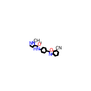 Cn1nccc1C(=O)Nc1ccc(-c2nc3cccc(C#N)c3o2)cc1